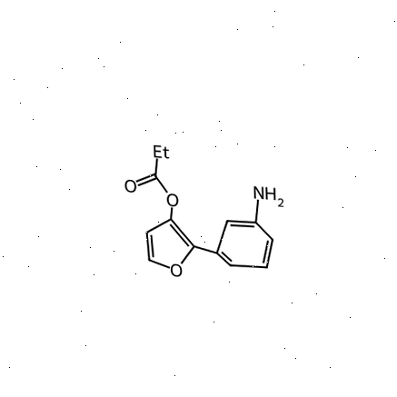 CCC(=O)Oc1ccoc1-c1cccc(N)c1